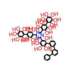 Oc1c(O)c(O)c(-c2c(O)c(O)c(-c3nc(-c4c(O)c(O)c(-c5c(O)c(O)c(O)c(O)c5O)c(O)c4O)nc(-c4c(O)c(O)c(O)c(-c5cccc6c5sc5c(-c7ccccc7)cccc56)c4O)n3)c(O)c2O)c(O)c1O